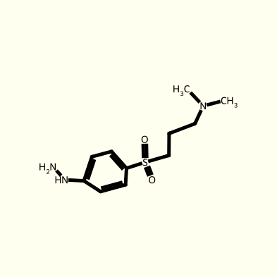 CN(C)CCCS(=O)(=O)c1ccc(NN)cc1